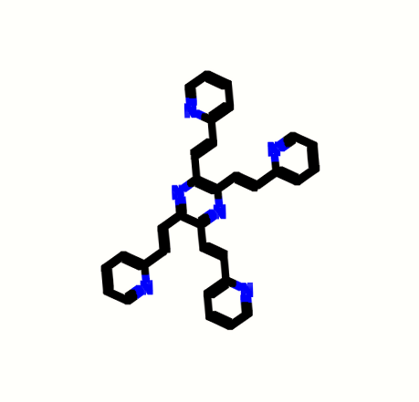 C(=C\c1nc(/C=C/c2ccccn2)c(/C=C/c2ccccn2)nc1/C=C/c1ccccn1)/c1ccccn1